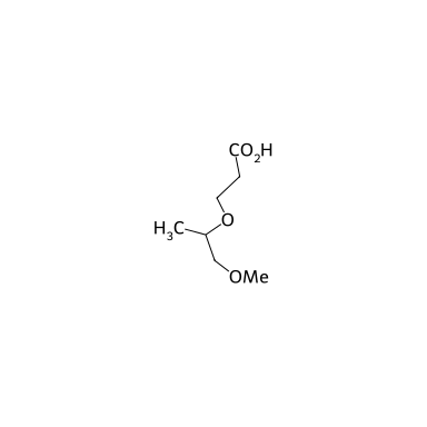 COCC(C)OCCC(=O)O